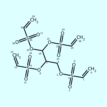 C=CS(=O)(=O)OCC(OS(=O)(=O)C=C)C(OS(=O)(=O)C=C)OS(=O)(=O)C=C